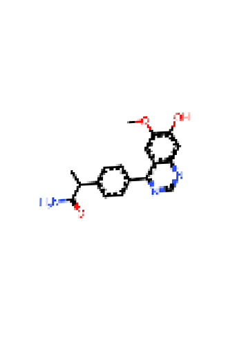 COc1cc2c(-c3ccc(C(C)C(N)=O)cc3)ncnc2cc1O